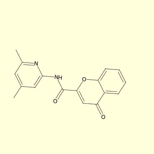 Cc1cc(C)nc(NC(=O)c2cc(=O)c3ccccc3o2)c1